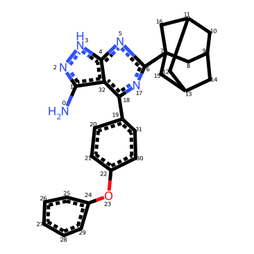 Nc1n[nH]c2nc(C34CC5CC(CC(C5)C3)C4)nc(-c3ccc(Oc4ccccc4)cc3)c12